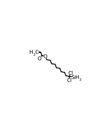 C=CC(=O)OCCCCCCCCCC([SiH3])(Cl)Cl